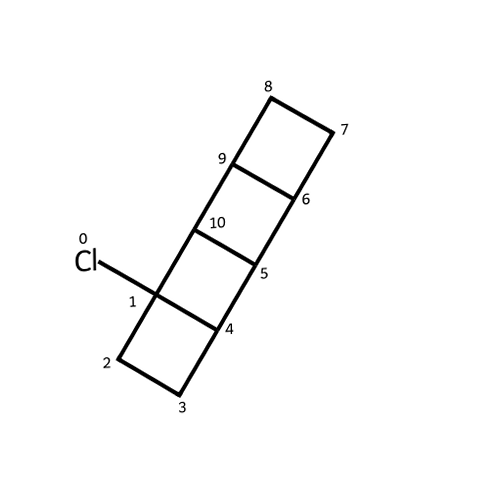 ClC12CCC1C1C3CCC3C12